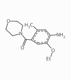 CCOc1cc(C(=O)N2CCOCC2)c(C)cc1N